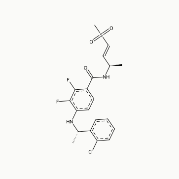 C[C@H](/C=C/S(C)(=O)=O)NC(=O)c1ccc(N[C@@H](C)c2ccccc2Cl)c(F)c1F